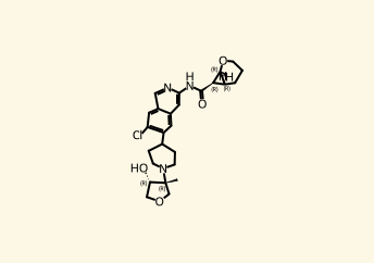 C[C@@]1(N2CCC(c3cc4cc(NC(=O)[C@@H]5[C@H]6CCCO[C@H]65)ncc4cc3Cl)CC2)COC[C@@H]1O